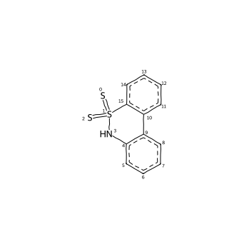 S=S1(=S)Nc2ccccc2-c2ccccc21